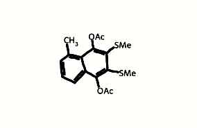 CSc1c(SC)c(OC(C)=O)c2c(C)cccc2c1OC(C)=O